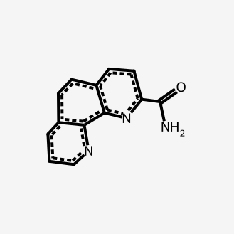 NC(=O)c1ccc2ccc3cccnc3c2n1